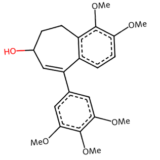 COc1cc(C2=CC(O)CCc3c2ccc(OC)c3OC)cc(OC)c1OC